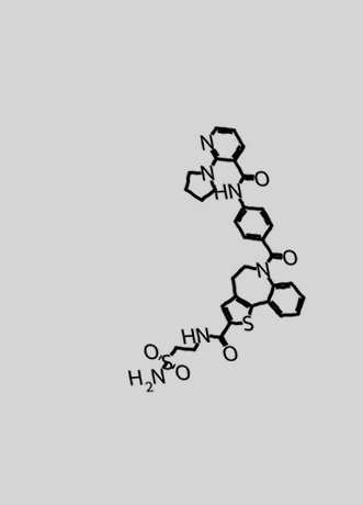 NS(=O)(=O)CCNC(=O)c1cc2c(s1)-c1ccccc1N(C(=O)c1ccc(NC(=O)c3cccnc3N3CCCC3)cc1)CC2